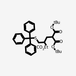 CCOC(=O)C(CSC(c1ccccc1)(c1ccccc1)c1ccccc1)CC(C(=O)OC(C)(C)C)C(=O)OC(C)(C)C